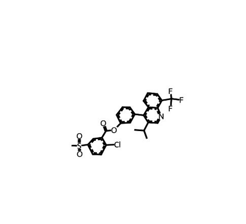 CC(C)c1cnc2c(C(F)(F)F)cccc2c1-c1cccc(OC(=O)c2cc(S(C)(=O)=O)ccc2Cl)c1